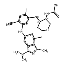 CN(C)c1nn(C)c2c(F)cc(Nc3nc(N[C@@H]4CCOC[C@@H]4NC(=O)O)c(F)cc3C#N)cc12